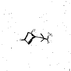 CC(C)(c1ccc(Cl)cc1Cl)C(Br)C=O